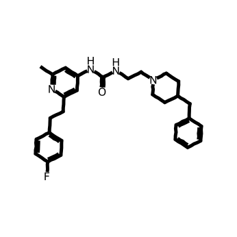 Cc1cc(NC(=O)NCCN2CCC(Cc3ccccc3)CC2)cc(CCc2ccc(F)cc2)n1